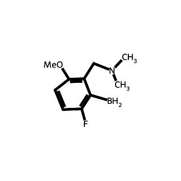 Bc1c(F)ccc(OC)c1CN(C)C